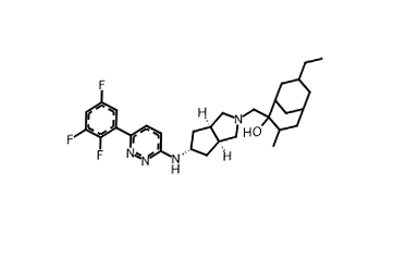 CCC1CC2CC(C)C(O)(CN3C[C@H]4C[C@H](Nc5ccc(-c6cc(F)cc(F)c6F)nn5)C[C@H]4C3)C(C1)C2